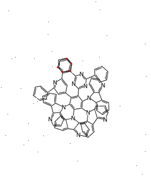 c1ccc(-c2cc(-c3c(-c4nc(-c5ccccc5)nc(-c5ccccc5)n4)c(-n4c5ccccc5c5ncccc54)c(-n4c5ccccc5c5ncccc54)c(-n4c5ccccc5c5ncccc54)c3-n3c4ccccc4c4ncccc43)cc(-c3ccccc3)n2)cc1